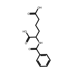 O=C(O)CCCC(NC(=O)c1ccccc1)C(=O)O